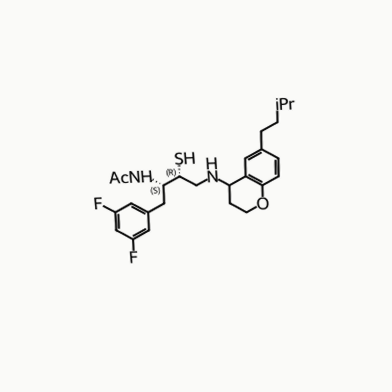 CC(=O)N[C@@H](Cc1cc(F)cc(F)c1)[C@H](S)CNC1CCOc2ccc(CCC(C)C)cc21